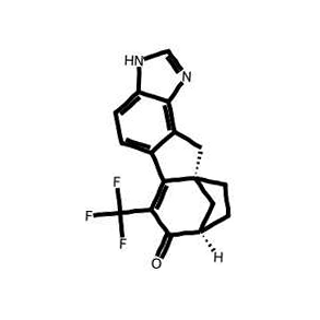 O=C1C(C(F)(F)F)=C2c3ccc4[nH]cnc4c3C[C@@]23CC[C@@H]1C3